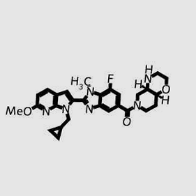 COc1ccc2cc(-c3nc4cc(C(=O)N5CC[C@H]6OCCN[C@H]6C5)cc(F)c4n3C)n(CC3CC3)c2n1